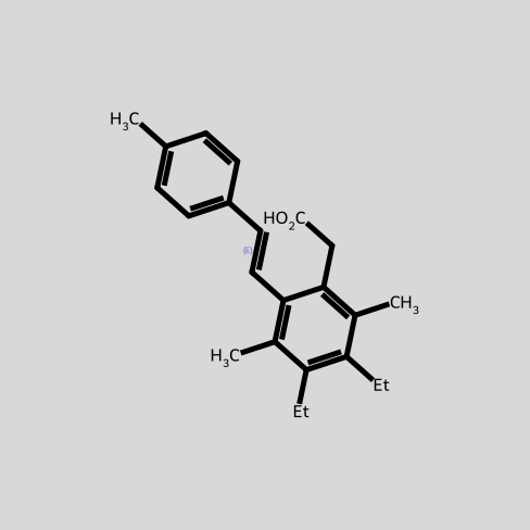 CCc1c(C)c(/C=C/c2ccc(C)cc2)c(CC(=O)O)c(C)c1CC